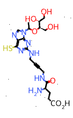 CC(O[C@H](CO)[C@H](O)CO)n1cnc2c(S)nc(NCC#CCNC(=O)C(N)CCC(=O)O)nc21